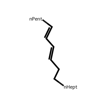 [CH2]CCCCC=CC=CCCCCCCCCC